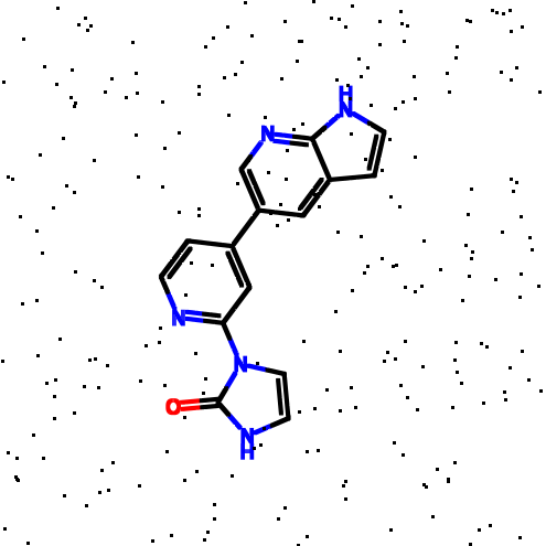 O=c1[nH]ccn1-c1cc(-c2cnc3[nH]ccc3c2)ccn1